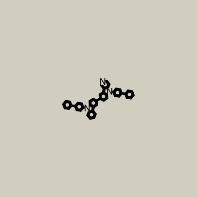 c1ccc(-c2ccc(-n3c4ccccc4c4cc(-c5ccc6c(c5)c5cnccc5n6-c5ccc(-c6ccccc6)cc5)ccc43)cc2)cc1